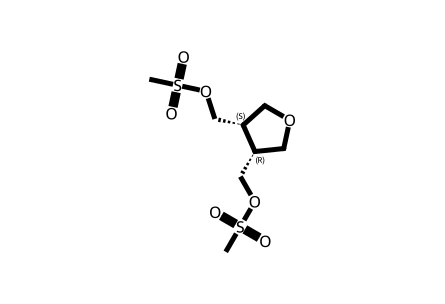 CS(=O)(=O)OC[C@H]1COC[C@H]1COS(C)(=O)=O